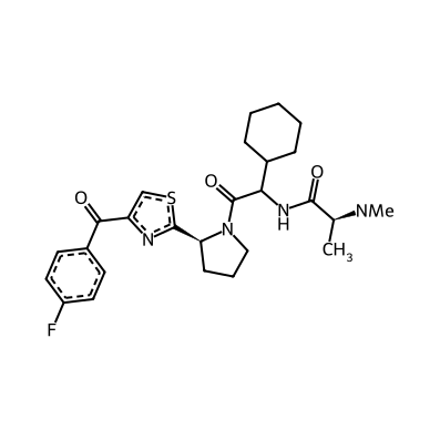 CN[C@@H](C)C(=O)NC(C(=O)N1CCC[C@H]1c1nc(C(=O)c2ccc(F)cc2)cs1)C1CCCCC1